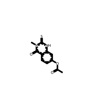 CC(=O)Oc1ccc2c(=O)n(C)c(=S)[nH]c2c1